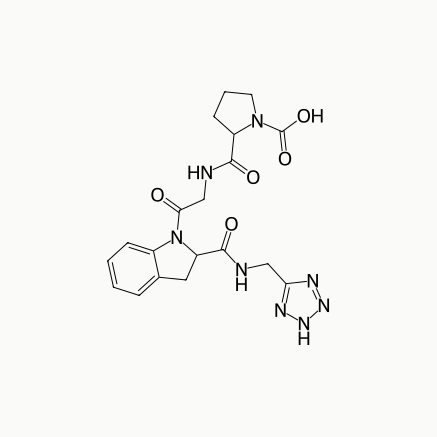 O=C(NCC(=O)N1c2ccccc2CC1C(=O)NCc1nn[nH]n1)C1CCCN1C(=O)O